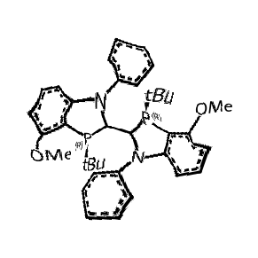 COc1cccc2c1[P@](C(C)(C)C)C(C1N(c3ccccc3)c3cccc(OC)c3[P@]1C(C)(C)C)N2c1ccccc1